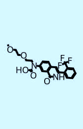 COCCOCCN(C(=O)O)c1ccc2cc(-c3ccccc3C(F)(F)F)[nH]c(=O)c2c1